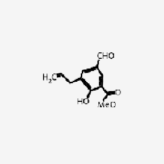 C=CCc1cc(C=O)cc(C(=O)OC)c1O